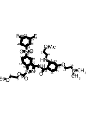 CCOCCOC(=O)n1nc(NC(=O)c2ccc(OCCN(C)C)cc2NCCOC)c2cc(S(=O)(=O)c3cc(F)cc(F)c3)ccc21